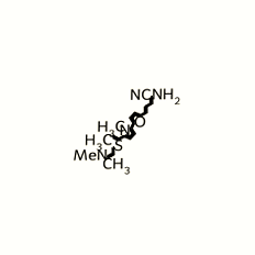 C/C=C(\SC/C=C(/C)NC)c1ccc(-c2ccc(/C=C/C=C(/N)C#N)o2)n1C